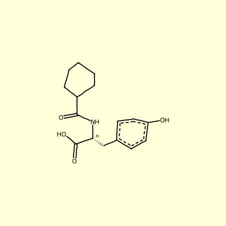 O=C(N[C@H](Cc1ccc(O)cc1)C(=O)O)C1CCCCC1